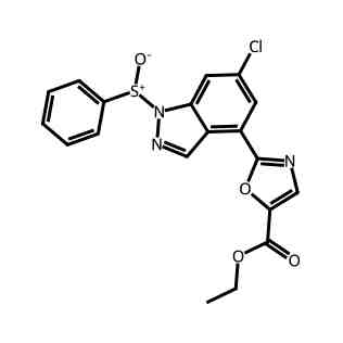 CCOC(=O)c1cnc(-c2cc(Cl)cc3c2cnn3[S+]([O-])c2ccccc2)o1